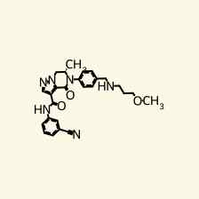 COCCCNCc1ccc(N2C(=O)c3c(C(=O)Nc4cccc(C#N)c4)cnn3C[C@@H]2C)cc1